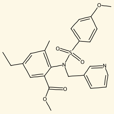 CCc1cc(C)c(N(Cc2cccnc2)S(=O)(=O)c2ccc(OC)cc2)c(C(=O)OC)c1